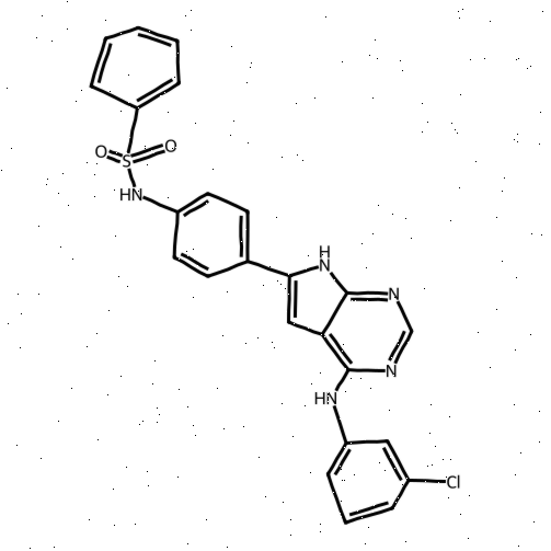 O=S(=O)(Nc1ccc(-c2cc3c(Nc4cccc(Cl)c4)ncnc3[nH]2)cc1)c1ccccc1